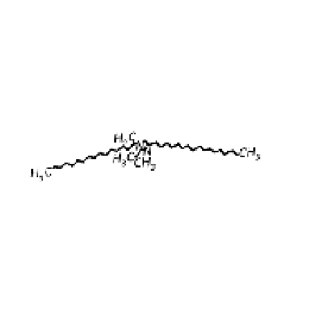 CCCCCCCCCCCCCCCCCc1cn(C(C)CCCCCCCCCCCCCCC)c(C(C)C)n1